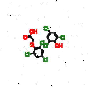 O=C(O)COc1c(Cl)cc(Cl)cc1Cl.Oc1c(Cl)cc(Cl)cc1Cl